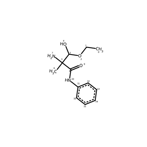 CCOC(O)C(C)(N)C(=O)Nc1ccccc1